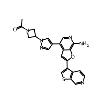 CC(=O)N1CC(n2cc(-c3cnc(N)c4oc(-c5csc6cnccc56)cc34)cn2)C1